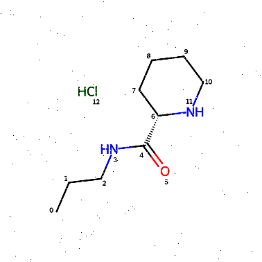 CCCNC(=O)[C@@H]1CCCCN1.Cl